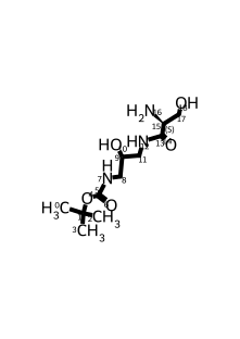 CC(C)(C)OC(=O)NCC(O)CNC(=O)[C@@H](N)CO